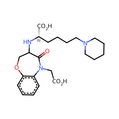 O=C(O)CN1C(=O)C(N[C@@H](CCCCN2CCCCC2)C(=O)O)COc2ccccc21